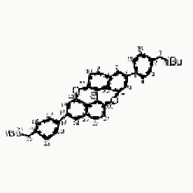 CCC(C)Cc1ccc(-c2cc3ccc4oc5cc(-c6ccc(CC(C)CC)cc6)cc6ccc7oc(c2)c3c4-c7c65)cc1